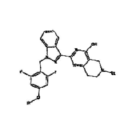 CCOc1cc(F)c(Cn2nc(-c3nc(O)c4c(n3)CCN(CC)C4)c3ccccc32)c(F)c1